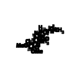 CCC(=O)NC1CN(c2ccn(C)n2)CC1Nc1ncc2cc(-c3c(Cl)c(OC)cc(OC)c3Cl)c(=O)n(C)c2n1